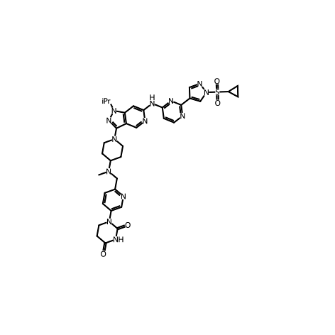 CC(C)n1nc(N2CCC(N(C)Cc3ccc(N4CCC(=O)NC4=O)cn3)CC2)c2cnc(Nc3ccnc(-c4cnn(S(=O)(=O)C5CC5)c4)n3)cc21